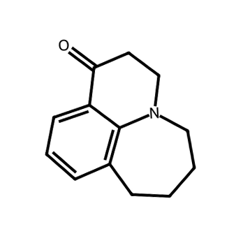 O=C1CCN2CCCCc3cccc1c32